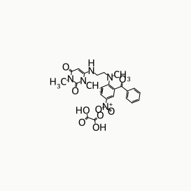 CN(CCNc1cc(=O)n(C)c(=O)n1C)c1ccc([N+](=O)[O-])cc1C(=O)c1ccccc1.O=C(O)C(=O)O